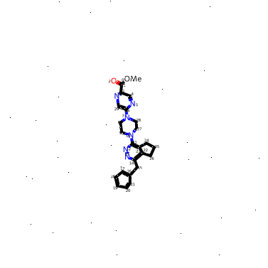 COC(=O)c1cnc(N2CCN(c3nnc(Cc4ccccc4)c4c3CCC4)CC2)cn1